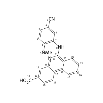 CNc1ccc(C#N)cc1Nc1nc2cc(C(=O)O)ccc2c2cnccc12